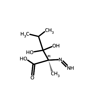 CC(C)C(O)(O)[C@@](C)(N=N)C(=O)O